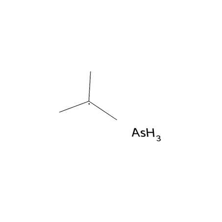 C[C](C)C.[AsH3]